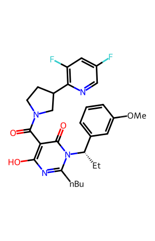 CCCCc1nc(O)c(C(=O)N2CCC(c3ncc(F)cc3F)C2)c(=O)n1[C@@H](CC)c1cccc(OC)c1